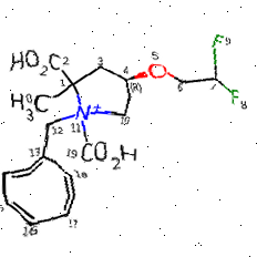 CC1(C(=O)O)C[C@@H](OCC(F)F)C[N+]1(Cc1ccccc1)C(=O)O